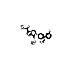 CC(C)NC(=O)c1nnc2n1CCN([C@H]1CC[C@@](CN)(c3cccc(Cl)c3)CC1)C2=O.Cl.Cl